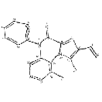 C=Cc1cc2c(=O)n(-c3ccccc3)c3cccc(C)c3n2c1C